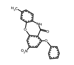 Cc1ccc2c(c1)Oc1cc([N+](=O)[O-])cc(Oc3ccccc3)c1C(=O)N2